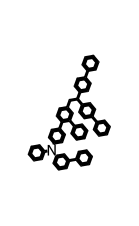 c1ccc(-c2ccc(C(Cc3ccc(-c4ccc(N(c5ccccc5)c5cccc(-c6ccccc6)c5)cc4)c(-c4ccccc4)c3)c3ccc(-c4ccccc4)cc3)cc2)cc1